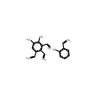 C=Cc1cc(C)c(C)c(C=C)c1C=C.C=Cc1ccccc1CC